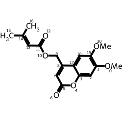 COc1cc2oc(=O)cc(COC(=O)C=C(C)C)c2cc1OC